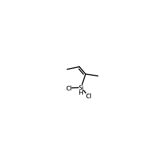 CC=C(C)[SiH](Cl)Cl